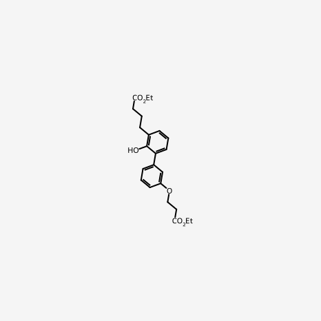 CCOC(=O)CCCc1cccc(-c2cccc(OCCC(=O)OCC)c2)c1O